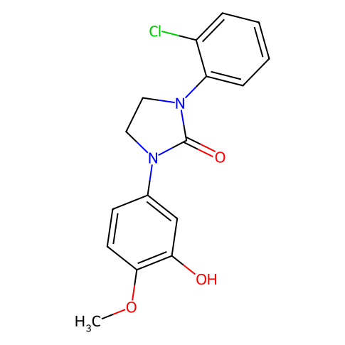 COc1ccc(N2CCN(c3ccccc3Cl)C2=O)cc1O